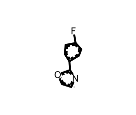 Fc1ccc(-c2n[c]co2)cc1